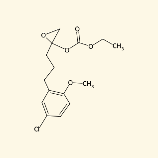 CCOC(=O)OC1(CCCc2cc(Cl)ccc2OC)CO1